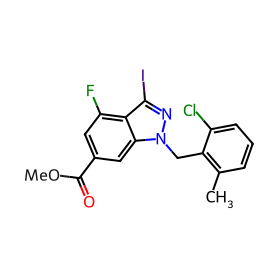 COC(=O)c1cc(F)c2c(I)nn(Cc3c(C)cccc3Cl)c2c1